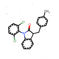 Cc1ccc(CC2C(=O)N(c3c(Cl)cccc3Cl)c3ccccc32)cc1